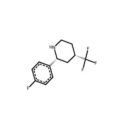 Fc1ccc([C@H]2C[C@@H](C(F)(F)F)CCN2)cc1